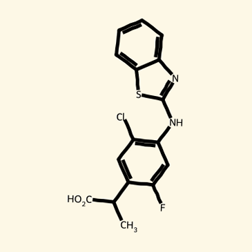 CC(C(=O)O)c1cc(Cl)c(Nc2nc3ccccc3s2)cc1F